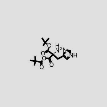 CC(C)(C)OC(=O)[C@@](N)(Cc1c[nH]cn1)C(=O)OC(=O)C(C)(C)C